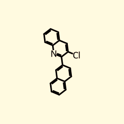 Clc1cc2ccccc2nc1-c1ccc2ccccc2c1